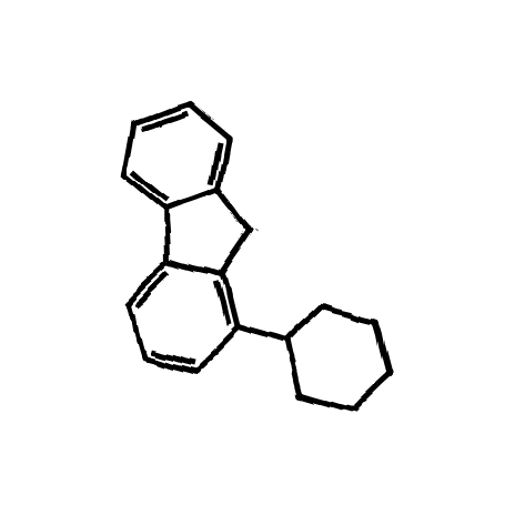 [CH]1c2ccccc2-c2cccc(C3CCCCC3)c21